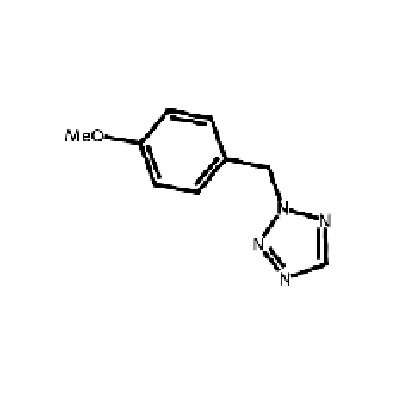 COc1ccc(Cn2ncnn2)cc1